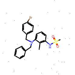 Cc1c(NS(C)(=O)=O)cccc1N(Cc1ccccc1)Cc1ccc(Br)cc1